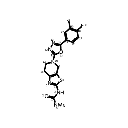 CNC(=O)Nc1nc2c(s1)CN(c1nnc(-c3ccc(F)c(C)c3)o1)CC2